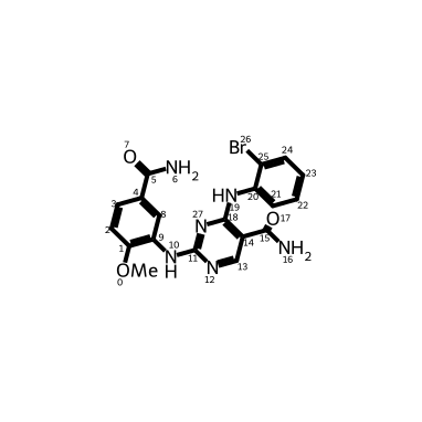 COc1ccc(C(N)=O)cc1Nc1ncc(C(N)=O)c(Nc2ccccc2Br)n1